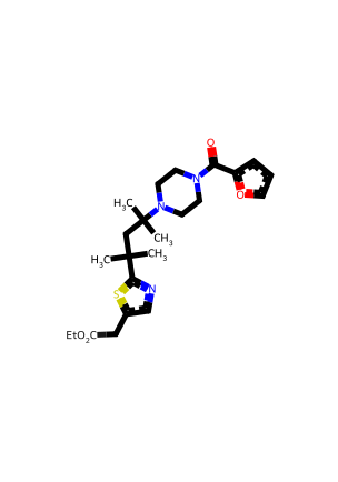 CCOC(=O)Cc1cnc(C(C)(C)CC(C)(C)N2CCN(C(=O)c3ccco3)CC2)s1